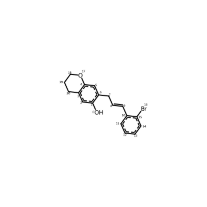 Oc1cc2c(cc1CC=Cc1ccccc1Br)OCCC2